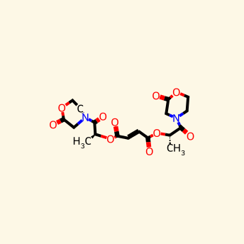 C[C@H](OC(=O)/C=C/C(=O)O[C@@H](C)C(=O)N1CCOC(=O)C1)C(=O)N1CCOC(=O)C1